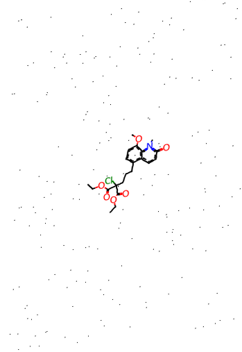 CCOC(=O)C(Cl)(CCCc1ccc(OC)c2c1ccc(=O)n2C)C(=O)OCC